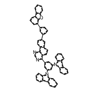 c1cc(-c2ccc3c(ccc4c(-c5cc(-n6c7ccccc7c7ccccc76)cc(-n6c7ccccc7c7ccccc76)c5)ncnc43)c2)cc(-c2cccc3c2oc2ccccc23)c1